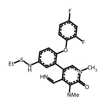 CCSNc1ccc(Oc2ccc(F)cc2F)c(-c2cn(C)c(=O)c(NC)c2C=N)c1